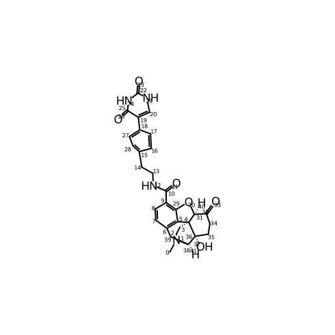 CN1CC[C@]23c4c5ccc(C(=O)NCCc6ccc(-c7c[nH]c(=O)[nH]c7=O)cc6)c4O[C@H]2C(=O)CC[C@@]3(O)[C@H]1C5